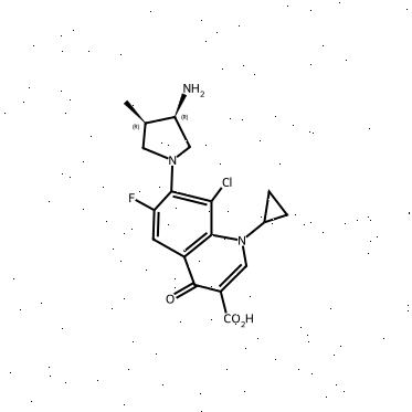 C[C@@H]1CN(c2c(F)cc3c(=O)c(C(=O)O)cn(C4CC4)c3c2Cl)C[C@@H]1N